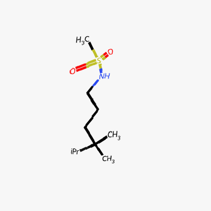 CC(C)C(C)(C)CCCNS(C)(=O)=O